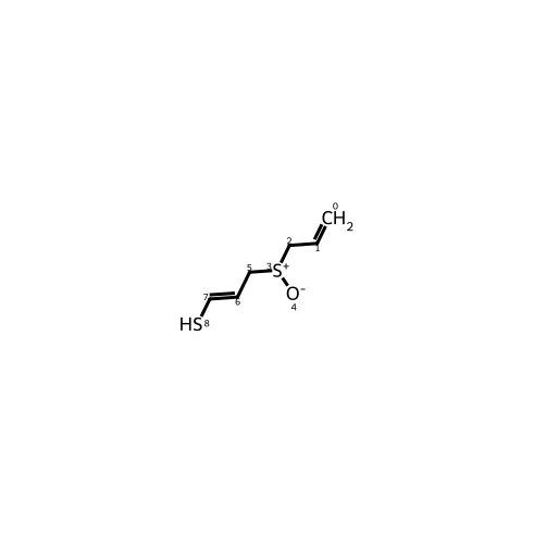 C=CC[S+]([O-])CC=CS